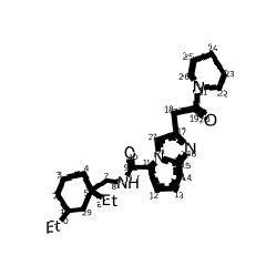 CCC1CCCC(CC)(CNC(=O)c2cccc3nc(CC(=O)N4CCCCC4)cn23)C1